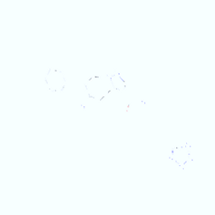 Cn1nnnc1C1CCC(NC(=O)c2cnn3ccc(N4CCC[C@@H]4c4cc(F)cc(F)c4)cc23)CC1